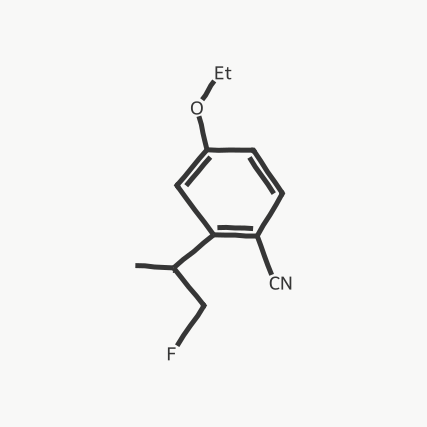 CCOc1ccc(C#N)c([C](C)CF)c1